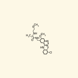 COCCN[C@@H](C)C(=O)NCc1cc2c(Nc3cccc(Cl)c3F)ncnc2cc1OC